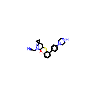 CC1(CC(Sc2ccccc2-c2ccc(N3CCNCC3)cc2)C(=O)NCC#N)CC1